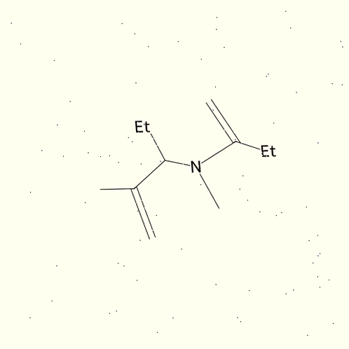 C=C(C)C(CC)N(C)C(=C)CC